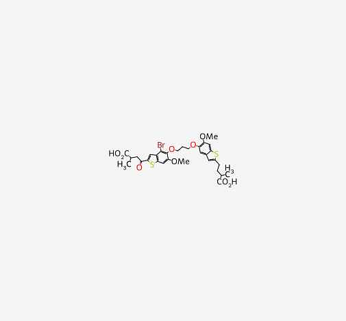 COc1cc2sc(CCC(C)C(=O)O)cc2cc1OCCCOc1c(OC)cc2sc(C(=O)CC(C)C(=O)O)cc2c1Br